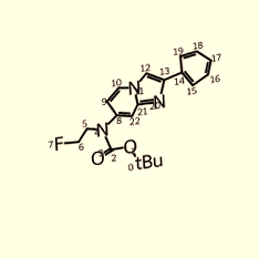 CC(C)(C)OC(=O)N(CCF)c1ccn2cc(-c3ccccc3)nc2c1